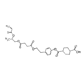 C=CC(=O)OC(C)COC(=O)CCC(=O)OCCc1ccc(OC(=O)C2CCC(C(=O)O)CC2)cc1